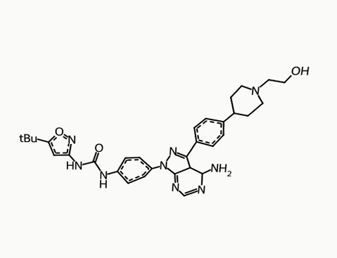 CC(C)(C)c1cc(NC(=O)Nc2ccc(N3N=C(c4ccc(C5CCN(CCO)CC5)cc4)C4C3=NC=NC4N)cc2)no1